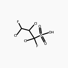 O=S(=O)(O)C(F)(Cl)C(Cl)C(F)Cl